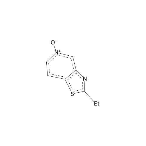 CCc1nc2c[n+]([O-])ccc2s1